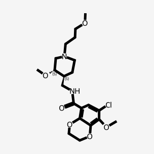 COCCCN1CC[C@@H](CNC(=O)c2cc(Cl)c(OC)c3c2OCCO3)[C@H](OC)C1